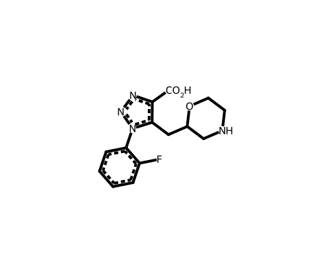 O=C(O)c1nnn(-c2ccccc2F)c1CC1CNCCO1